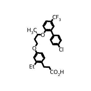 CCc1cc(OCC[C@H](C)Oc2ccc(C(F)(F)F)cc2-c2ccc(Cl)cc2)ccc1CCC(=O)O